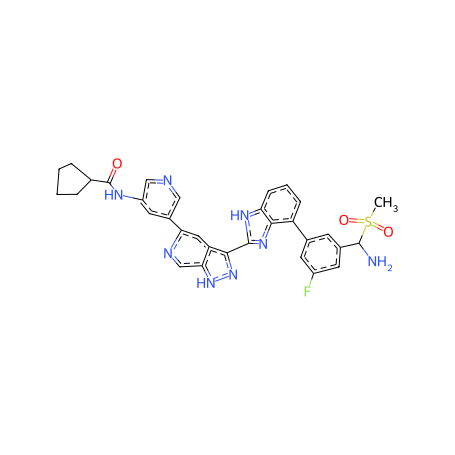 CS(=O)(=O)C(N)c1cc(F)cc(-c2cccc3[nH]c(-c4n[nH]c5cnc(-c6cncc(NC(=O)C7CCCC7)c6)cc45)nc23)c1